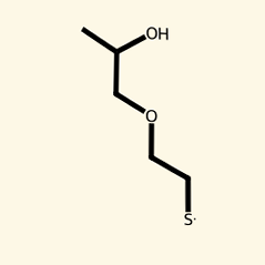 CC(O)COCC[S]